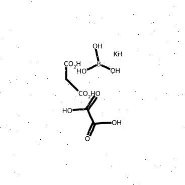 O=C(O)C(=O)O.O=C(O)CC(=O)O.OB(O)O.[KH]